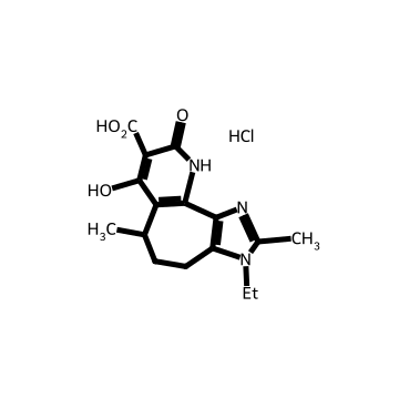 CCn1c(C)nc2c1CCC(C)c1c-2[nH]c(=O)c(C(=O)O)c1O.Cl